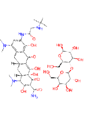 CN(C)c1cc(NC(=O)CNC(C)(C)C)c(O)c2c1C[C@H]1C[C@H]3[C@H](N(C)C)C(O)=C(C(N)=O)C(=O)[C@@]3(O)C(O)=C1C2=O.OC[C@H]1O[C@@H](O[C@H]2[C@H](O)[C@@H](O)[C@H](O)O[C@@H]2CO)[C@H](O)[C@@H](O)[C@H]1O